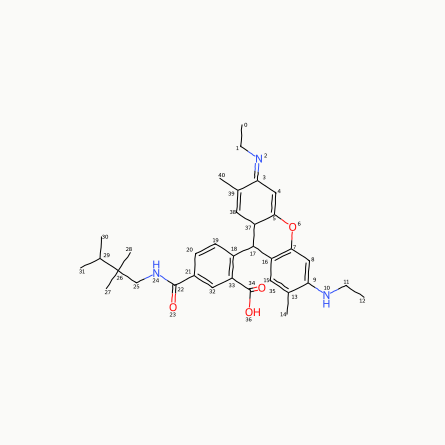 CC/N=C1/C=C2Oc3cc(NCC)c(C)cc3C(c3ccc(C(=O)NCC(C)(C)C(C)C)cc3C(=O)O)C2C=C1C